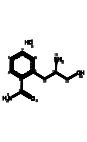 Cl.NC(=O)c1ccccc1C[C@H](N)CO